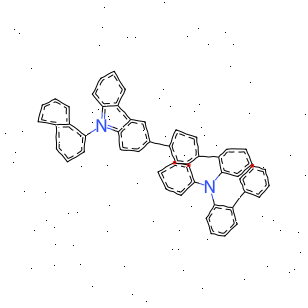 c1ccc(-c2ccccc2N(c2ccccc2)c2ccccc2-c2ccc(-c3ccc4c(c3)c3ccccc3n4-c3cccc4ccccc34)cc2)cc1